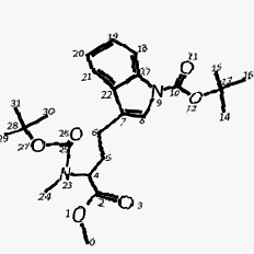 COC(=O)C(CCc1cn(C(=O)OC(C)(C)C)c2ccccc12)N(C)C(=O)OC(C)(C)C